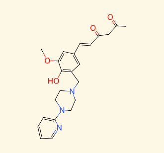 COc1cc(C=CC(=O)CC(C)=O)cc(CN2CCN(c3ccccn3)CC2)c1O